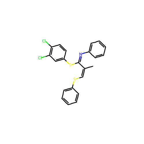 CC(=CSc1ccccc1)C(=Nc1ccccc1)Sc1ccc(Cl)c(Cl)c1